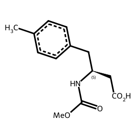 COC(=O)N[C@H](CC(=O)O)Cc1ccc(C)cc1